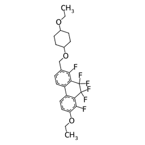 CCOc1ccc2c(c1F)C(F)(F)C(F)(F)c1c-2ccc(COC2CCC(OCC)CC2)c1F